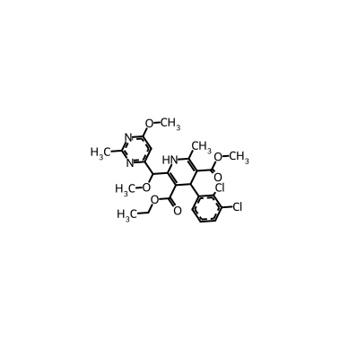 CCOC(=O)C1=C(C(OC)c2cc(OC)nc(C)n2)NC(C)=C(C(=O)OC)C1c1cccc(Cl)c1Cl